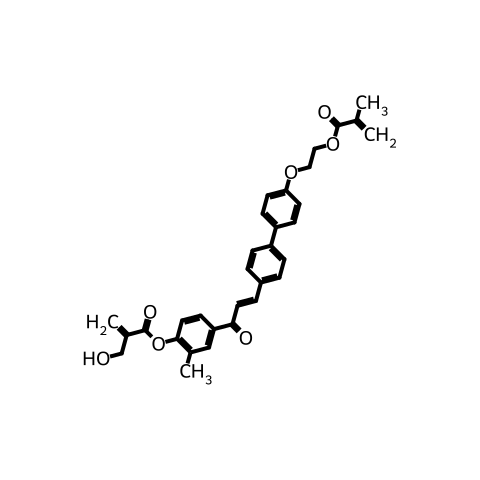 C=C(C)C(=O)OCCOc1ccc(-c2ccc(/C=C/C(=O)c3ccc(OC(=O)C(=C)CO)c(C)c3)cc2)cc1